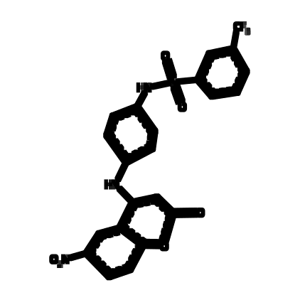 O=c1cc(Nc2ccc(NS(=O)(=O)c3cccc(C(F)(F)F)c3)cc2)c2cc([N+](=O)[O-])ccc2o1